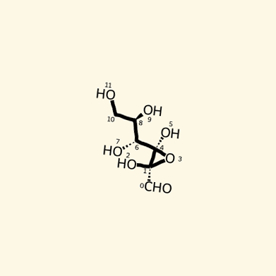 O=C[C@@]1(O)O[C@]1(O)[C@H](O)[C@H](O)CO